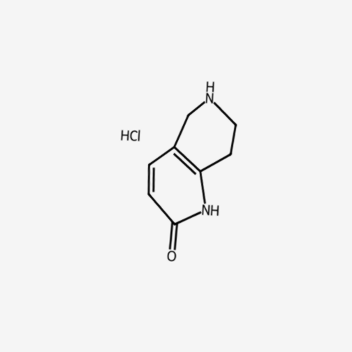 Cl.O=c1ccc2c([nH]1)CCNC2